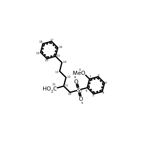 COc1ccccc1S(=O)(=O)CC(CCCc1ccccc1)C(=O)O